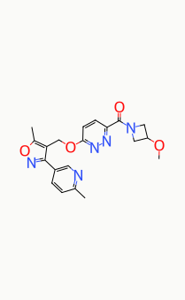 COC1CN(C(=O)c2ccc(OCc3c(-c4ccc(C)nc4)noc3C)nn2)C1